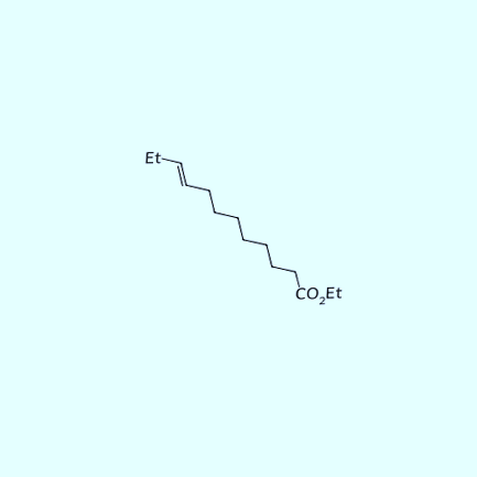 CCC=CCCCCCCCC(=O)OCC